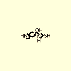 O[C@H]([C@@H]1C[C@H](S)CN1)N1CCC2(CCNC2)CC1